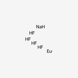 F.F.F.F.[Eu].[NaH]